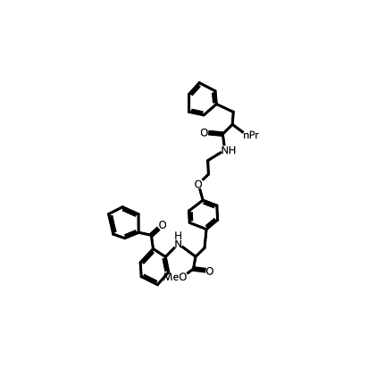 CCCC(Cc1ccccc1)C(=O)NCCOc1ccc(CC(Nc2ccccc2C(=O)c2ccccc2)C(=O)OC)cc1